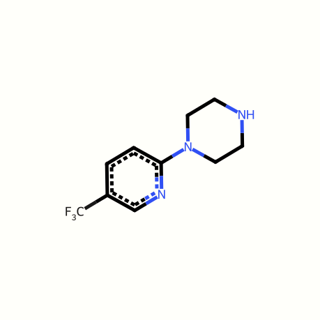 FC(F)([18F])c1ccc(N2CCNCC2)nc1